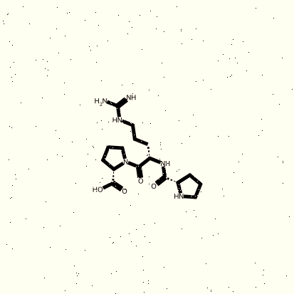 N=C(N)NCCC[C@H](NC(=O)[C@@H]1CCCN1)C(=O)N1CCC[C@H]1C(=O)O